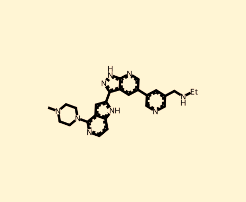 CCNCc1cncc(-c2cnc3[nH]nc(-c4cc5c(N6CCN(C)CC6)nccc5[nH]4)c3c2)c1